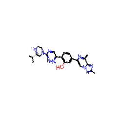 Cc1nc2c(C)nc(-c3ccc(-c4cnc(N5CCN[C@@H](C(C)C)C5)nn4)c(O)c3)cn2n1